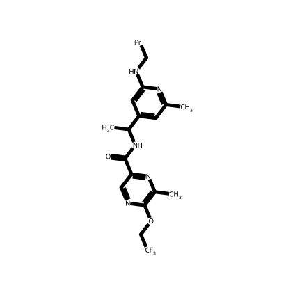 Cc1cc(C(C)NC(=O)c2cnc(OCC(F)(F)F)c(C)n2)cc(NCC(C)C)n1